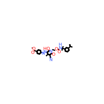 C=C(C)c1cccc(C(C)(C)NC(=O)OCCn2c(O)c(/N=N/c3ccc(C(=O)OC)cc3)c(C)c(C#N)c2=O)c1